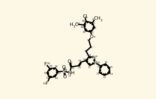 Cc1cc(OCCCc2nn(-c3ccccc3)cc2/C=C/C(=O)NS(=O)(=O)c2cc(F)cc(F)c2)cc(C)c1Cl